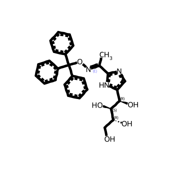 C/C(=N\OC(c1ccccc1)(c1ccccc1)c1ccccc1)c1ncc([C@@H](O)[C@H](O)[C@H](O)CO)[nH]1